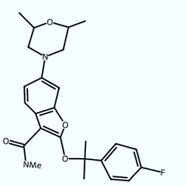 CNC(=O)c1c(OC(C)(C)c2ccc(F)cc2)oc2cc(N3CC(C)OC(C)C3)ccc12